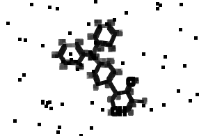 C=C(C)C(=O)C(CO)c1ccc(N(c2ccccc2)c2ccccc2)cc1